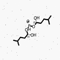 CC(C)CC[C@@H](O)O[PH](=O)O[C@H](O)CCC(C)C